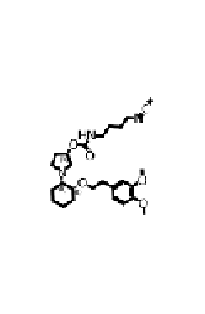 C=C=NCCCCNC(=O)O[C@@H]1CCN([C@@H]2CCCC[C@H]2OCCc2ccc(OC)c(OC)c2)C1